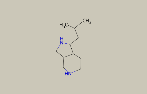 CC(C)CC1NCC2CNCCC21